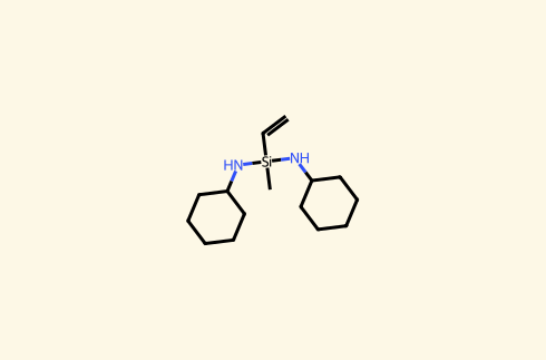 C=C[Si](C)(NC1CCCCC1)NC1CCCCC1